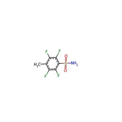 Cc1c(F)c(F)c(S(N)(=O)=O)c(F)c1F